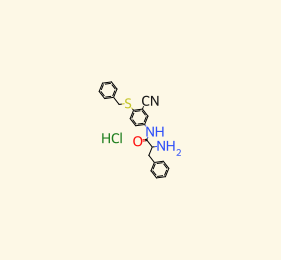 Cl.N#Cc1cc(NC(=O)C(N)Cc2ccccc2)ccc1SCc1ccccc1